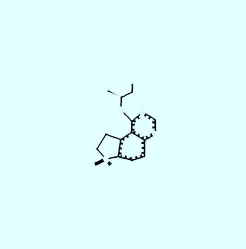 C[C@@H](CO)Nc1ncnc2ccc3c(c12)CCS3(=O)=O